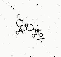 CC(C)(C)OC(=O)NC1CCN(c2cc(F)ccc2[N+](=O)[O-])CC1